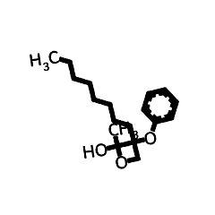 CCCCCCCCC1(Oc2ccccc2)COC1(C)O